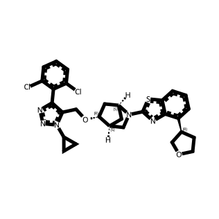 Clc1cccc(Cl)c1-c1nnn(C2CC2)c1CO[C@@H]1C[C@@H]2C[C@H]1CN2c1nc2c([C@H]3CCOC3)cccc2s1